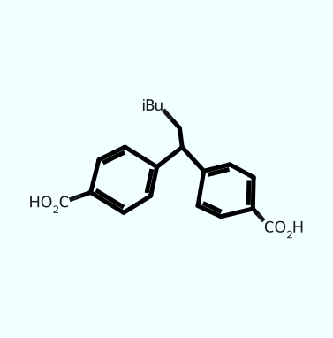 CCC(C)CC(c1ccc(C(=O)O)cc1)c1ccc(C(=O)O)cc1